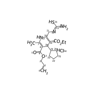 C=CCOC(=O)C1=C(C)NC(CN=C(N)S)=C(C(=O)OCC)C1C1CCCC1.Cl